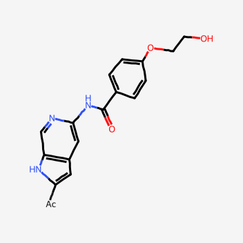 CC(=O)c1cc2cc(NC(=O)c3ccc(OCCO)cc3)ncc2[nH]1